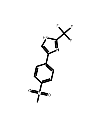 CS(=O)(=O)c1ccc(-c2c[nH]c(C(F)(F)F)n2)cc1